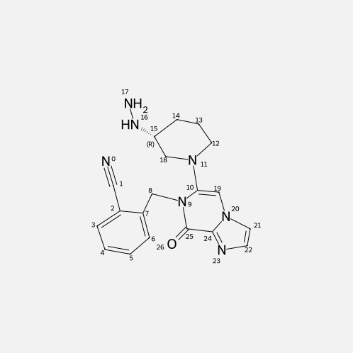 N#Cc1ccccc1Cn1c(N2CCC[C@@H](NN)C2)cn2ccnc2c1=O